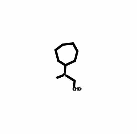 CN(C[C]=O)C1CCCCCC1